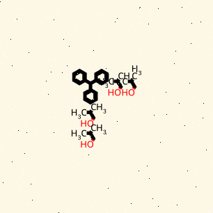 CC(C)CO.CC(C)CO.CC(C)CO.CC(C)CO.c1ccc(C(c2ccccc2)c2ccccc2)cc1